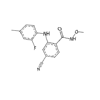 CONC(=O)c1ccc(C#N)cc1Nc1ccc(C)cc1F